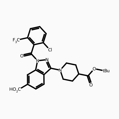 CC(C)(C)OC(=O)C1CCN(c2nn(C(=O)c3c(Cl)cccc3C(F)(F)F)c3cc(C(=O)O)ccc23)CC1